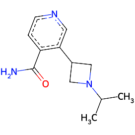 CC(C)N1CC(c2cnccc2C(N)=O)C1